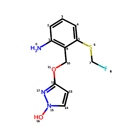 Nc1cccc(SCF)c1COc1ccn(O)n1